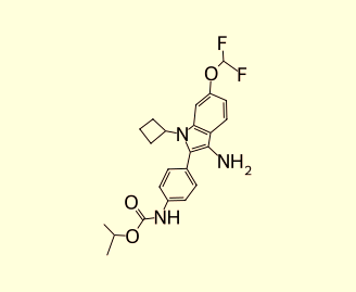 CC(C)OC(=O)Nc1ccc(-c2c(N)c3ccc(OC(F)F)cc3n2C2CCC2)cc1